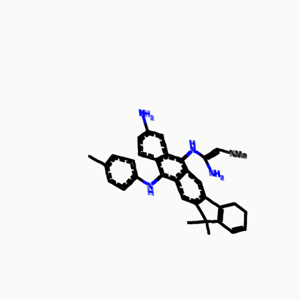 CN/C=C(\N)Nc1c2cc(N)ccc2c(Nc2ccc(C)cc2)c2cc3c(cc12)C1=C(C=CCC1)C3(C)C